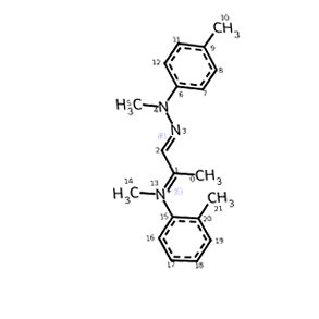 CC(/C=N/N(C)c1ccc(C)cc1)=[N+](/C)c1ccccc1C